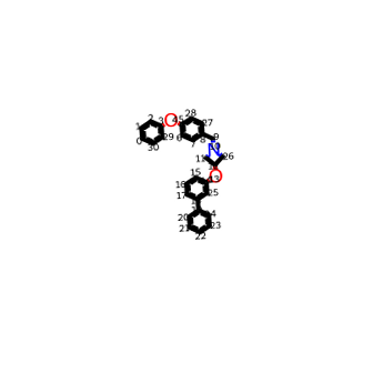 c1ccc(Oc2ccc(CN3CC(Oc4cccc(-c5ccccc5)c4)C3)cc2)cc1